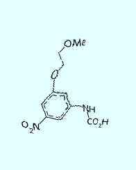 COCCOc1cc(NC(=O)O)cc([N+](=O)[O-])c1